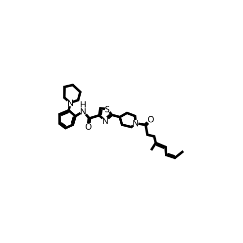 C/C=C\C=C(/C)CCC(=O)N1CCC(c2nc(C(=O)Nc3ccccc3N3CCCCC3)cs2)CC1